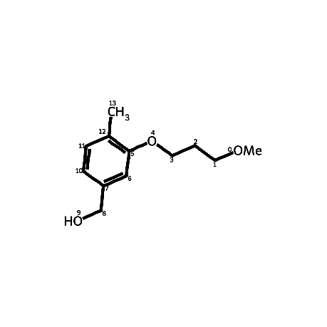 COCCCOc1cc(CO)ccc1C